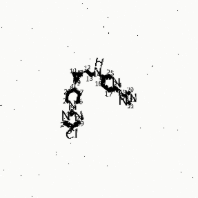 Clc1cnc(N2CCC([C@@H]3C[C@H]3CCNc3ccc(-n4cncn4)nc3)CC2)nc1